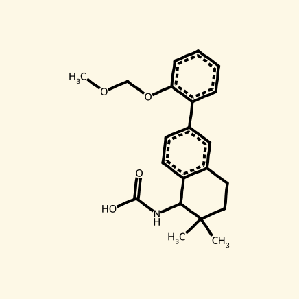 COCOc1ccccc1-c1ccc2c(c1)CCC(C)(C)C2NC(=O)O